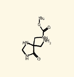 CC(C)(C)OC(=O)NCC1(CN)NCNC1=O